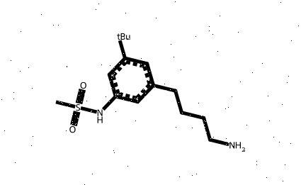 CC(C)(C)c1cc(CCCCN)cc(NS(C)(=O)=O)c1